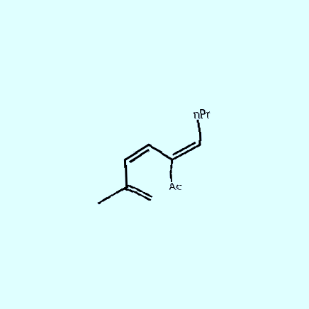 C=C(C)/C=C\C(=C/CCC)C(C)=O